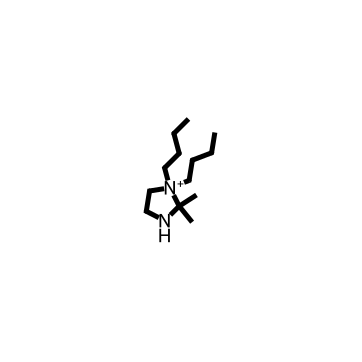 CCCC[N+]1(CCCC)CCNC1(C)C